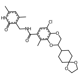 Cc1cc(C)c(CNC(=O)c2cc(Cl)c3c(c2C)OC(C2CCC4(CC2)OCCO4)CO3)c(=O)[nH]1